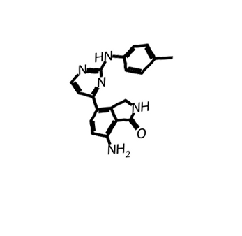 Cc1ccc(Nc2nccc(-c3ccc(N)c4c3CNC4=O)n2)cc1